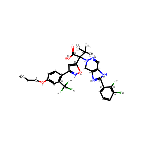 CCCOc1ccc(-c2cc(C(C(=O)O)(N3Cc4nc(-c5cccc(F)c5F)[nH]c4C=N3)C(C)(C)C)on2)c(C(F)(F)F)c1